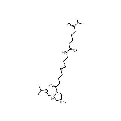 CC(C)OC[C@@H]1C[C@@H](C)CN1C(=O)CCCSSCCNC(=O)CCCCC(=O)C(C)C